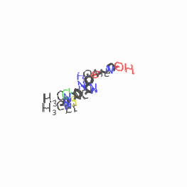 CCn1c(Sc2ccc(Nc3c(C#N)cnc4cc(OCCCN5CCC(O)C5)c(OC)cc34)cc2Cl)nc(C)c1C